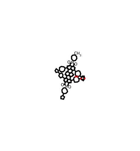 CC1CCCC(N2C(=O)c3cc(C4CCCCCCC4)c4c5ccc6c7c(C8CCC(C9CCCC9)CC8)cc8c9c(cc(C%10CCCC(C%11CCCC%11)CCC%10)c(c%10ccc(c%11c(C%12CCCC(C%13CCCC%13)CCC%12)cc(c3c4%11)C2=O)c5c%106)c97)C(=O)N(C2CCCC(C3CCCC3)CCC2)C8=O)CCC1